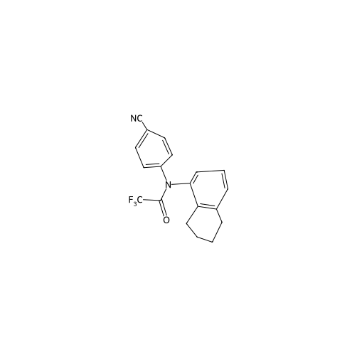 N#Cc1ccc(N(C(=O)C(F)(F)F)c2cccc3c2CCCC3)cc1